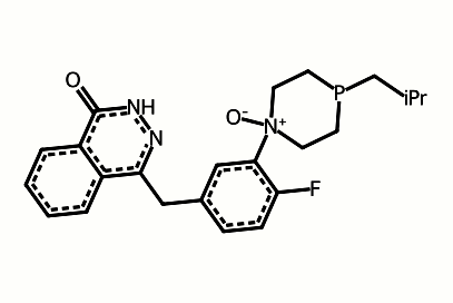 CC(C)CP1CC[N+]([O-])(c2cc(Cc3n[nH]c(=O)c4ccccc34)ccc2F)CC1